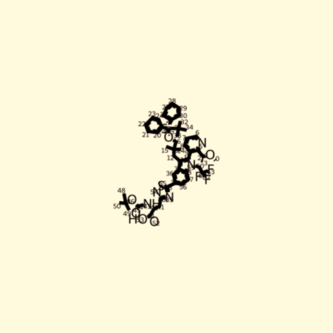 CO[C@@H](C)c1ncccc1-c1c(CC(C)(C)CO[Si](c2ccccc2)(c2ccccc2)C(C)(C)C)c2cc(-c3nc(CC(NC(=O)OC(C)(C)C)C(=O)O)ns3)ccc2n1CC(F)(F)F